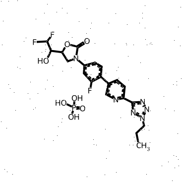 CCCn1nnc(-c2ccc(-c3ccc(N4CC(C(O)C(F)F)OC4=O)cc3F)cn2)n1.O=P(O)(O)O